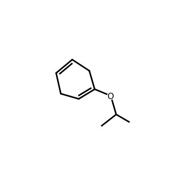 CC(C)OC1=CCC=CC1